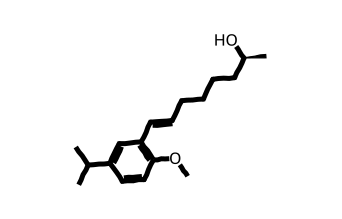 COc1ccc(C(C)C)cc1/C=C/CCCC[C@H](C)O